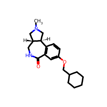 CN1C[C@H]2CNC(=O)c3cc(OCC4CCCCC4)ccc3[C@@H]2C1